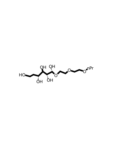 CCCOCCOCCO[C@@H](O)[C@H](O)C(O)[C@H](O)CCO